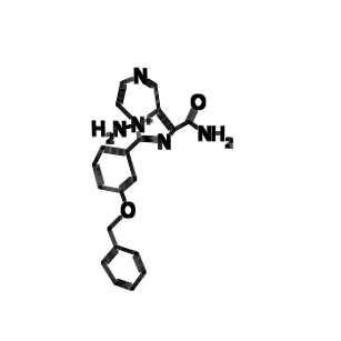 NC(=O)C1=C2C=NC=C[N+]2(N)C(c2cccc(OCc3ccccc3)c2)=N1